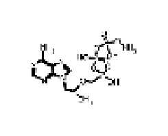 C[C@H](Cn1cnc2c(N)ncnc21)OCP(=O)(O)OP(=O)(O)OP(=O)(O)ON